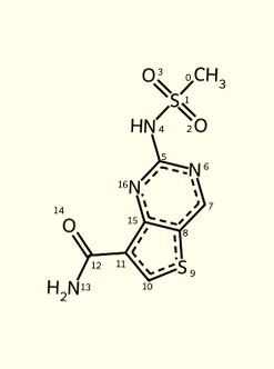 CS(=O)(=O)Nc1ncc2scc(C(N)=O)c2n1